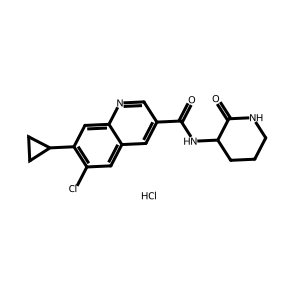 Cl.O=C(NC1CCCNC1=O)c1cnc2cc(C3CC3)c(Cl)cc2c1